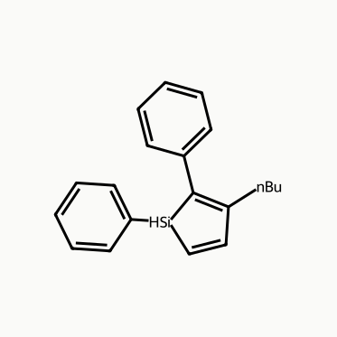 CCCCC1=C(c2ccccc2)[SiH](c2ccccc2)C=C1